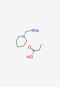 CCC(=O)O.N#CCN1CCCCC1